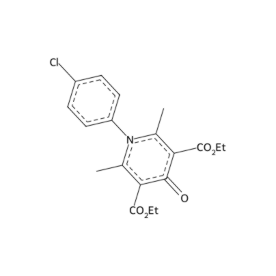 CCOC(=O)c1c(C)n(-c2ccc(Cl)cc2)c(C)c(C(=O)OCC)c1=O